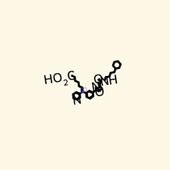 O=C(O)CCCC/C=C(\c1cccnc1)c1cccc(C2=NC(C(=O)NCCCCC3CCCCC3)CO2)c1